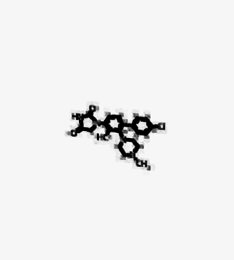 [CH]c1c(N2CC(=O)NC2=O)ccc(-c2ccc(Cl)cc2)c1N1CCN(C)CC1